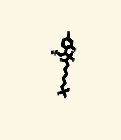 CCP(c1ccc(F)cc1F)C(F)(F)C(F)CCCCCCC(F)(F)F